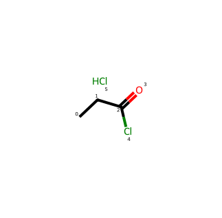 CCC(=O)Cl.Cl